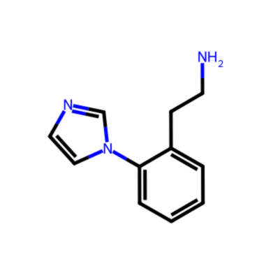 NCCc1ccccc1-n1ccnc1